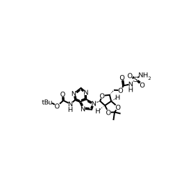 CC(C)(C)OC(=O)Nc1ncnc2c1ncn2[C@@H]1O[C@H](COC(=O)NS(N)(=O)=O)[C@H]2OC(C)(C)O[C@H]21